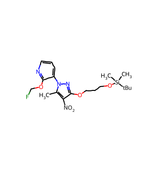 Cc1c([N+](=O)[O-])c(OCCCO[Si](C)(C)C(C)(C)C)nn1-c1cccnc1OCF